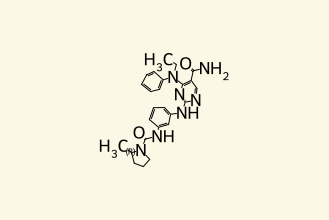 CCN(c1ccccc1)c1nc(Nc2cccc(NC(=O)N3CCC[C@H]3C)c2)ncc1C(N)=O